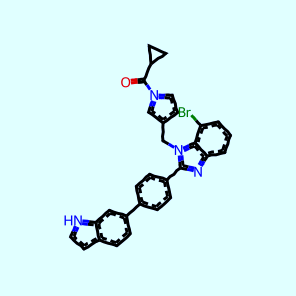 O=C(C1CC1)n1ccc(Cn2c(-c3ccc(-c4ccc5cc[nH]c5c4)cc3)nc3cccc(Br)c32)c1